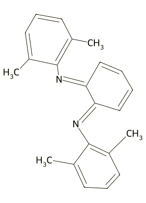 Cc1cccc(C)c1N=C1C=CC=CC1=Nc1c(C)cccc1C